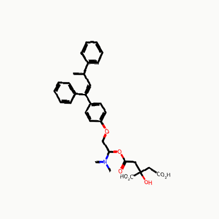 CC(/C=C(\c1ccccc1)c1ccc(OCC(OC(=O)CC(O)(CC(=O)O)C(=O)O)N(C)C)cc1)c1ccccc1